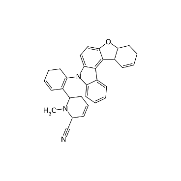 CN1C(C#N)C=CCC1C1=C(n2c3ccccc3c3c4c(ccc32)OC2CCC=CC42)CCC=C1